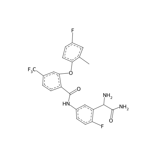 Cc1cc(F)ccc1Oc1cc(C(F)(F)F)ccc1C(=O)Nc1ccc(F)c(C(N)C(N)=O)c1